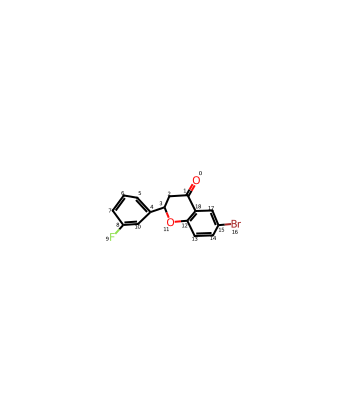 O=C1CC(c2cccc(F)c2)Oc2ccc(Br)cc21